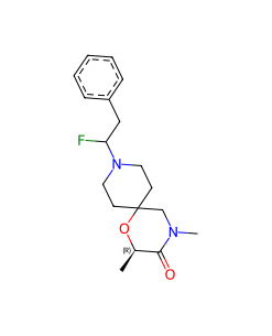 C[C@H]1OC2(CCN(C(F)Cc3ccccc3)CC2)CN(C)C1=O